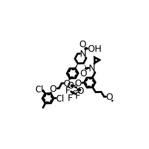 COCCCc1cc(CN(C(=O)[C@H]2CN(C(=O)O)CC[C@@H]2c2ccc(OCCOc3c(Cl)cc(C)cc3Cl)cc2)C2CC2)cc(OS(=O)(=O)C(F)(F)F)c1